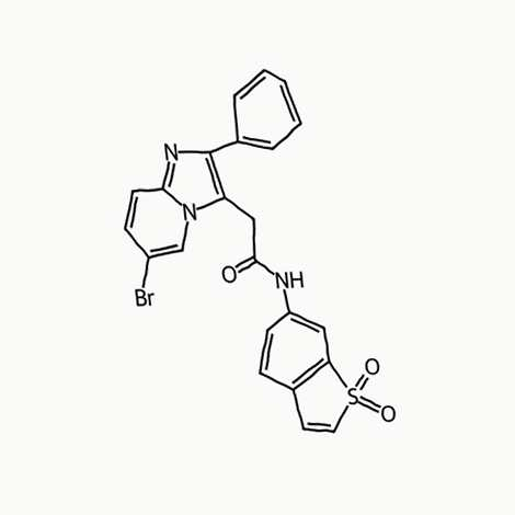 O=C(Cc1c(-c2ccccc2)nc2ccc(Br)cn12)Nc1ccc2c(c1)S(=O)(=O)C=C2